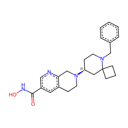 O=C(NO)c1cnc2c(c1)CCN([C@H]1CCN(Cc3ccccc3)C3(CCC3)C1)C2